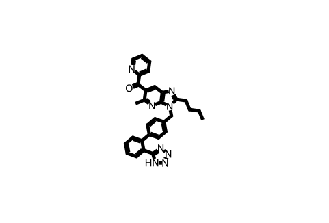 CCCCc1nc2cc(C(=O)c3ccccn3)c(C)nc2n1Cc1ccc(-c2ccccc2-c2nnn[nH]2)cc1